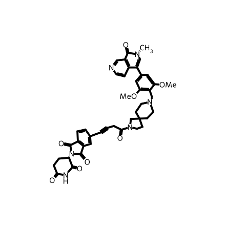 COc1cc(-c2cn(C)c(=O)c3cnccc23)cc(OC)c1CN1CCC2(CC1)CCN(C(=O)CC#Cc1ccc3c(c1)C(=O)N(C1CCC(=O)NC1=O)C3=O)C2